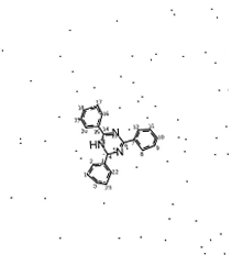 c1ccc([C]2N=C(c3ccccc3)N=C(c3ccccc3)N2)cc1